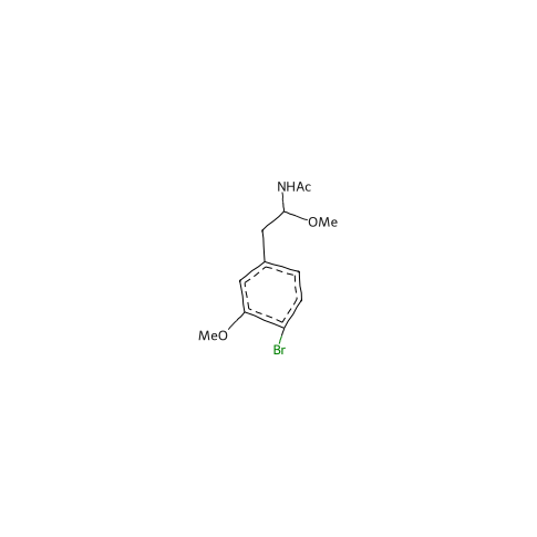 COc1cc(CC(NC(C)=O)OC)ccc1Br